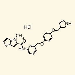 Cl.Cn1c(C(=O)Nc2cccc(COc3ccc(OCC4CCNC4)cc3)c2)cc2sccc21